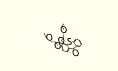 CCOCCOc1ccc2c(=O)c3ccccc3sc2c1OCCOCC